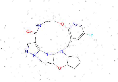 CC1CNC(=O)c2cnn3cc4c(nc23)N(Cc2cc(F)cnc2O1)C1CCCC1O4